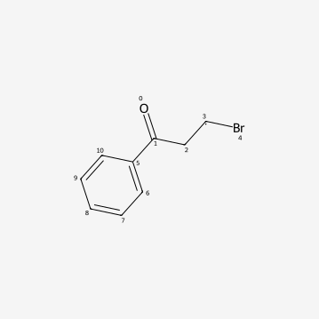 O=C(C[CH]Br)c1ccccc1